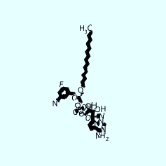 CCCCCCCCCCCCCCCCOC[C@H](COP(=O)(O)O[C@H]1O[C@@](C#N)(c2ccc3c(N)ncnn23)[C@H](O)[C@@H]1O)OCc1cc(F)cc(C#N)c1